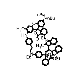 CCCCN(CCCC)c1ccc2c(c1)Oc1cc(C)c(Nc3ccc(CCN(CC)c4ccc(C5(C=C(c6c(C)n(CC)c7ccccc67)c6c(C)n(CC)c7ccccc67)OC(=O)c6ccccc65)cc4)cc3)cc1C21OC(=O)c2ccccc21